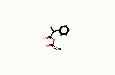 COC(=O)OC(=O)C(C)c1ccccc1